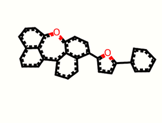 c1ccc(-c2ccc(-c3ccc4oc5cccc6cccc(c7cccc3c47)c65)o2)cc1